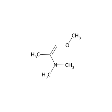 COC=C(C)N(C)C